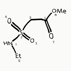 CCNS(=O)(=O)CC(=O)OC